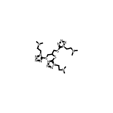 CN(C)CCn1nnnc1SCC(CSc1nnnn1CCN(C)C)Sc1nnnn1CCN(C)C